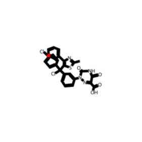 Cc1nc(-c2ccccc2)c(C(Cl)(c2ccc(Cl)cc2)c2cccc(-n3nc(C(=O)O)c(=O)[nH]c3=O)c2)s1